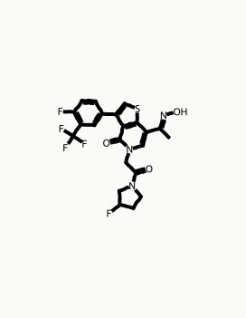 CC(=NO)c1cn(CC(=O)N2CCC(F)C2)c(=O)c2c(-c3ccc(F)c(C(F)(F)F)c3)csc12